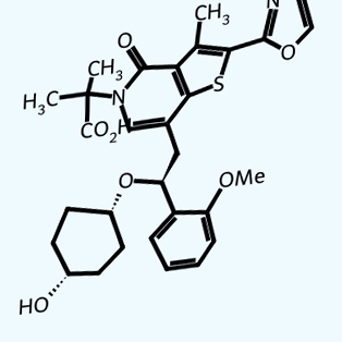 COc1ccccc1[C@H](Cc1cn(C(C)(C)C(=O)O)c(=O)c2c(C)c(-c3ncco3)sc12)O[C@H]1CC[C@@H](O)CC1